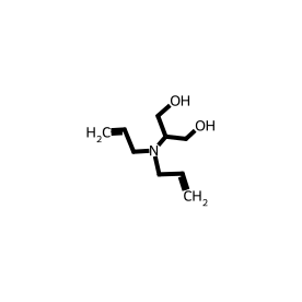 C=CCN(CC=C)C(CO)CO